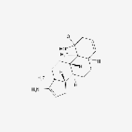 C[C@@]12[C@@H](C=CCC1(O)O)CC[C@@H]1[C@@H]2CC[C@]2(C)C(N)=CC[C@@H]12